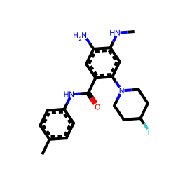 CNc1cc(N2CCC(F)CC2)c(C(=O)Nc2ccc(C)cc2)cc1N